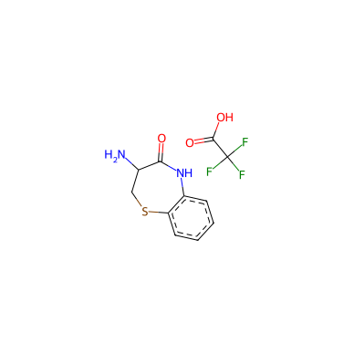 NC1CSc2ccccc2NC1=O.O=C(O)C(F)(F)F